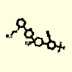 CCOc1ccccc1-c1ccc(C2(N)CCN(c3ccc(C(F)(F)F)cc3C#N)CC2)cn1